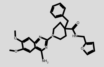 COc1cc2nc(N3CCC(Cc4ccccc4)(C(=O)NCc4ccco4)CC3)nc(N)c2cc1OC